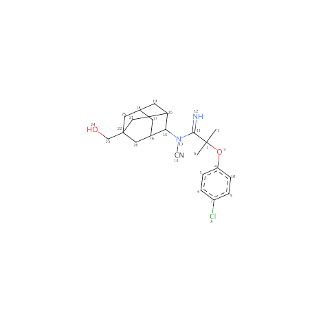 CC(C)(Oc1ccc(Cl)cc1)C(=N)N(C#N)C1C2CC3CC1CC(CO)(C3)C2